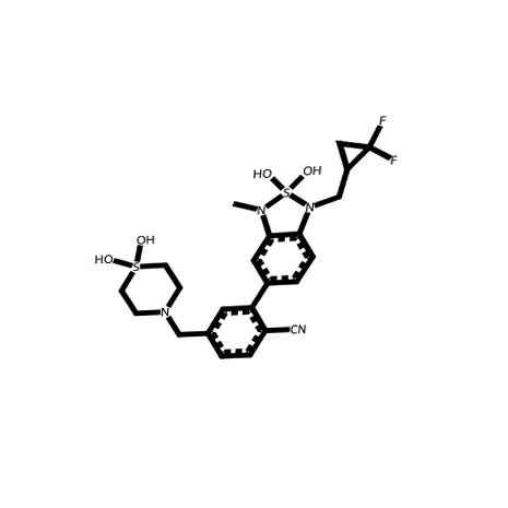 CN1c2cc(-c3cc(CN4CCS(O)(O)CC4)ccc3C#N)ccc2N(CC2CC2(F)F)S1(O)O